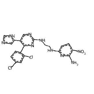 Nc1nc(NCCNc2ncc(-c3cnc[nH]3)c(-c3ccc(Cl)cc3Cl)n2)ccc1[N+](=O)[O-]